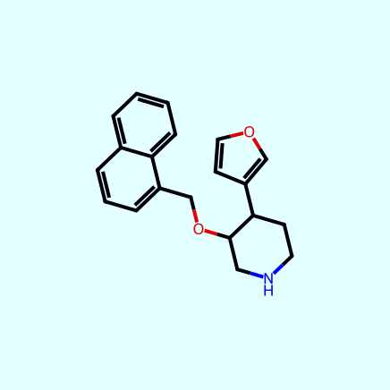 c1ccc2c(COC3CNCCC3c3ccoc3)cccc2c1